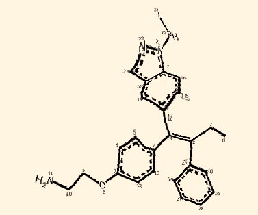 CC/C(=C(/c1ccc(OCCN)cc1)c1ccc2c(cnn2PI)c1)c1ccccc1